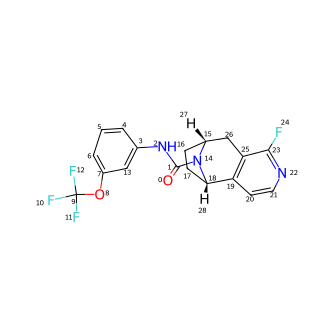 O=C(Nc1cccc(OC(F)(F)F)c1)N1[C@@H]2CC[C@H]1c1ccnc(F)c1C2